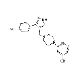 N#Cc1ccc(-c2n[nH]cc2CN2CCN(c3cc(C#N)ccn3)CC2)cc1